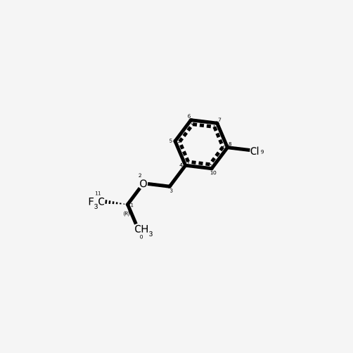 C[C@@H](OCc1cccc(Cl)c1)C(F)(F)F